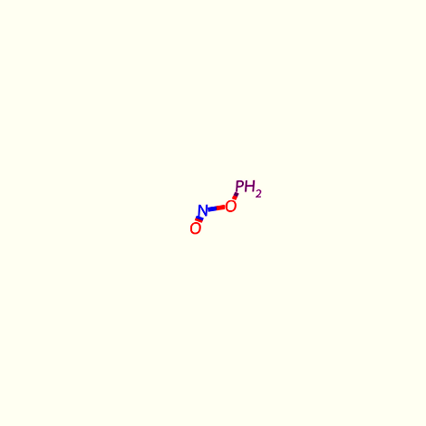 O=NOP